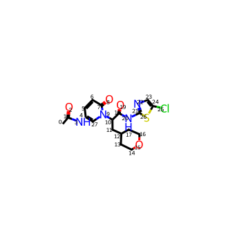 CC(=O)Nc1ccc(=O)n(C(CC2CCOCC2)C(=O)Nc2ncc(Cl)s2)c1